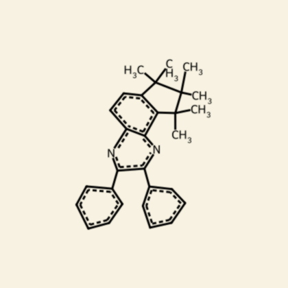 CC1(C)c2ccc3nc(-c4ccccc4)c(-c4ccccc4)nc3c2C(C)(C)C1(C)C